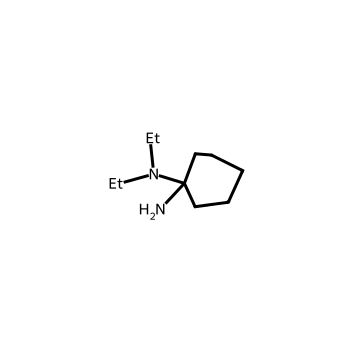 CCN(CC)C1(N)CCCCC1